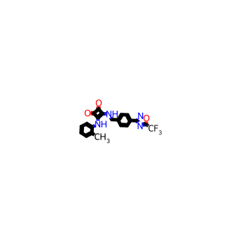 Cc1ccccc1Nc1c(NCc2ccc(-c3noc(C(F)(F)F)n3)cc2)c(=O)c1=O